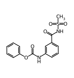 CS(=O)(=O)NC(=O)c1cccc(NC(=O)Oc2ccccc2)c1